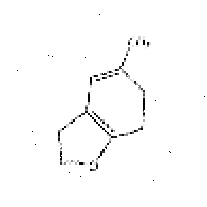 CC1=CC2=C(CC1)OCC2